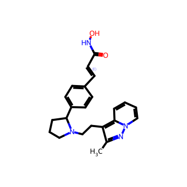 Cc1nn2ccccc2c1CCN1CCCC1c1ccc(/C=C/C(=O)NO)cc1